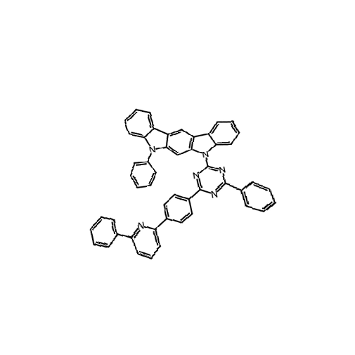 c1ccc(-c2cccc(-c3ccc(-c4nc(-c5ccccc5)nc(-n5c6ccccc6c6cc7c8ccccc8n(-c8ccccc8)c7cc65)n4)cc3)n2)cc1